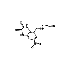 N#CCNCc1cc([N+](=O)[O-])cc2[nH]c(=O)c(=O)[nH]c12